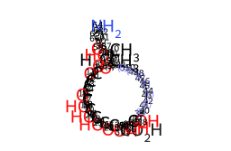 C[C@H](C[C@H](C)[C@@H]1OC(=O)CC(=O)CCCC(=O)C[C@@H](O)C[C@@H](O)C[C@@H](O)CC(=O)C[C@H](O)[C@H](C(=O)O)[C@@H](O)C[C@H](O)/C=C/C=C/C=C/C=C/C=C/C=C/C=C/[C@@H]1C)[C@H](O)CC(=O)c1ccc(N)cc1